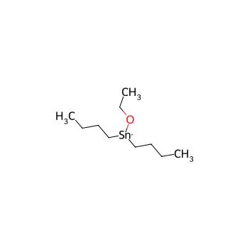 CCC[CH2][Sn]([CH2]CCC)[O]CC